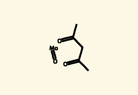 CC(=O)CC(C)=O.[O]=[Mo]